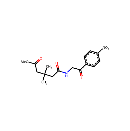 COC(=O)CC(C)(C)CC(=O)NCC(=O)c1ccc([N+](=O)[O-])cc1